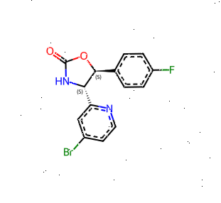 O=C1N[C@@H](c2cc(Br)ccn2)[C@H](c2ccc(F)cc2)O1